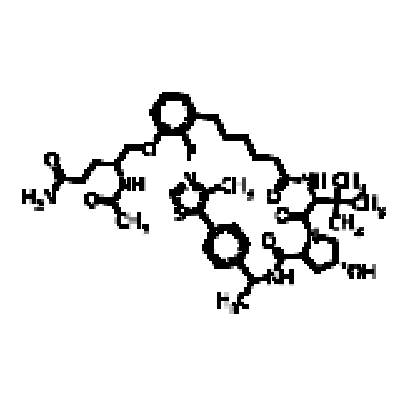 CC(=O)N[C@@H](CCC(N)=O)COc1cccc(CCCCCC(=O)N[C@H](C(=O)N2C[C@H](O)C[C@H]2C(=O)N[C@@H](C)c2ccc(-c3scnc3C)cc2)C(C)(C)C)c1F